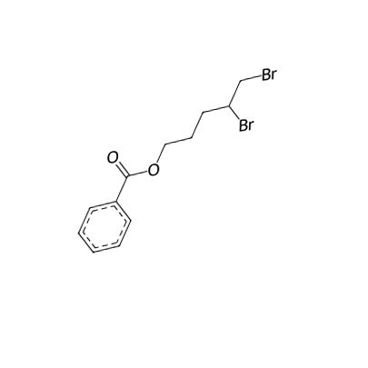 O=C(OCCCC(Br)CBr)c1ccccc1